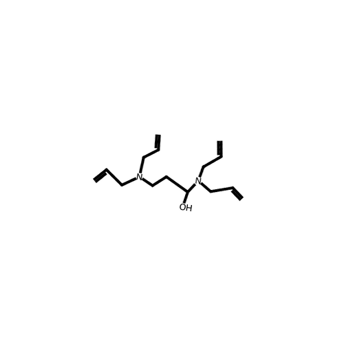 C=CCN(CC=C)CCC(O)N(CC=C)CC=C